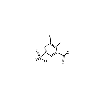 O=C(Cl)c1cc(S(=O)(=O)Cl)cc(F)c1F